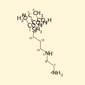 CC(=O)O.CC(=O)O.CC(=O)O.NCCNCCC[SiH3]